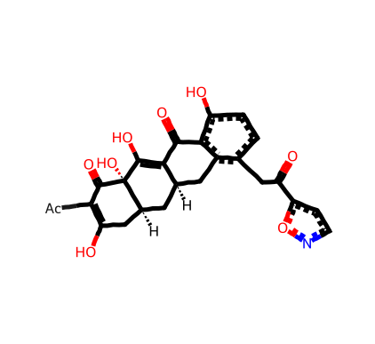 CC(=O)C1=C(O)C[C@@H]2C[C@@H]3Cc4c(CC(=O)c5ccno5)ccc(O)c4C(=O)C3=C(O)[C@]2(O)C1=O